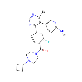 CCNc1ccc(-c2c(CC)ncnc2-c2ccc(C(=O)N3CCN(C4CCC4)CC3)c(F)c2)cn1